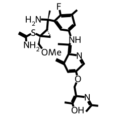 C=C(N)S[C@@]1(COC)C[C@H]1[C@](C)(N)c1cc(N/C(C)=c2\ncc(OC/C(N=C(C)C)=C(\C)O)cc2=C)cc(C)c1F